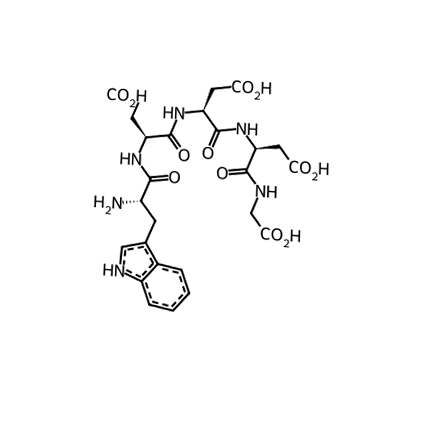 N[C@@H](Cc1c[nH]c2ccccc12)C(=O)N[C@@H](CC(=O)O)C(=O)N[C@@H](CC(=O)O)C(=O)N[C@@H](CC(=O)O)C(=O)NCC(=O)O